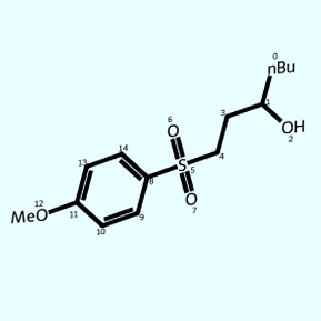 CCCCC(O)CCS(=O)(=O)c1ccc(OC)cc1